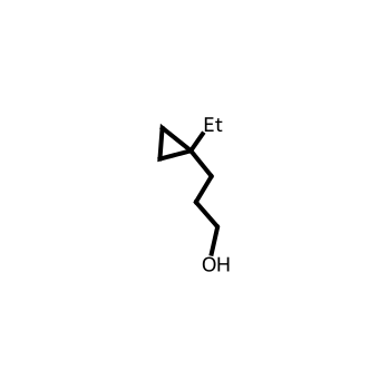 CCC1(CCCO)CC1